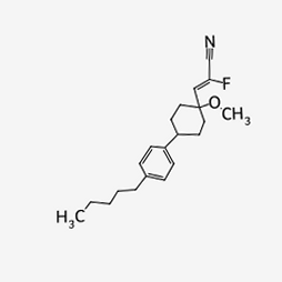 CCCCCc1ccc(C2CCC(C=C(F)C#N)(OC)CC2)cc1